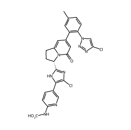 Cc1ccc(-n2cc(Cl)nn2)c(-c2cc3n(c(=O)c2)[C@H](c2nc(Cl)c(-c4ccc(NC(=O)O)nc4)[nH]2)CC3)c1